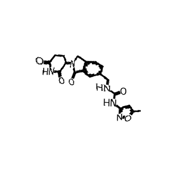 Cc1cc(NC(=O)NCc2ccc3c(c2)C(=O)N(C2CCC(=O)NC2=O)C3)no1